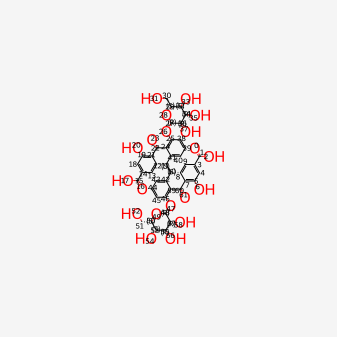 O=C(O)c1cc(O)c2c(c1)[C@@H]([C@@H]1c3cc(C(=O)O)cc(O)c3C(=O)c3c(O[C@H]4O[C@@H](CO)[C@@H](O)[C@@H](O)[C@H]4O)cccc31)c1cccc(O[C@H]3O[C@@H](CO)[C@@H](O)[C@@H](O)[C@H]3O)c1C2=O